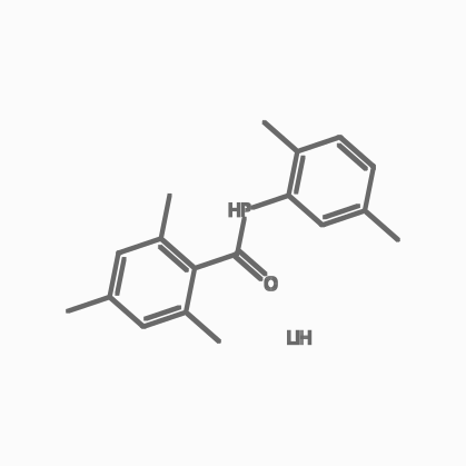 Cc1cc(C)c(C(=O)Pc2cc(C)ccc2C)c(C)c1.[LiH]